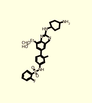 CCc1cc(-c2ccc(NS(=O)(=O)c3ccccc3F)cc2C)cc2cnc(NC3CCC(N)CC3)nc12.O=CO